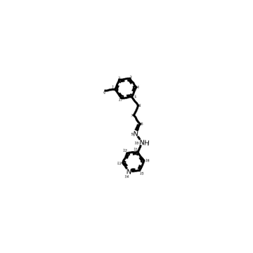 Cc1cccc(CCC=NNc2ccncc2)c1